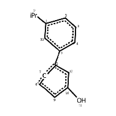 CC(C)c1cccc(-c2cccc(O)c2)c1